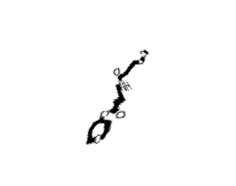 CSSCCC(=O)NCCCC(=O)OC1CCCCCCC1